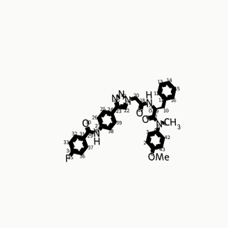 COc1ccc(N(C)C(=O)[C@H](Cc2ccccc2)NC(=O)Cn2cc(-c3ccc(NC(=O)c4ccc(F)cc4)cc3)nn2)cc1